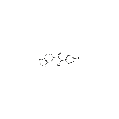 O=C(c1ccc2c(c1)OCO2)C(O)c1ccc(F)cc1